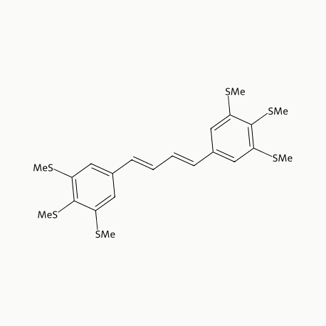 CSc1cc(/C=C/C=C/c2cc(SC)c(SC)c(SC)c2)cc(SC)c1SC